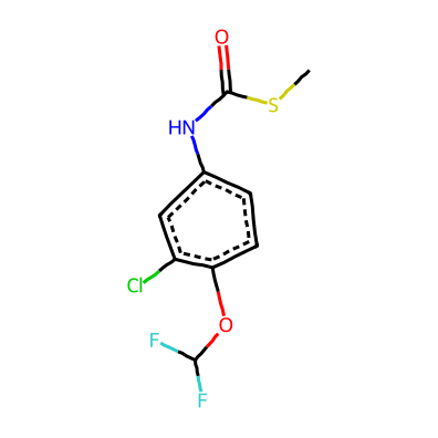 CSC(=O)Nc1ccc(OC(F)F)c(Cl)c1